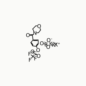 O=C(c1ccc(OS(=O)(=O)C(F)(F)F)cc1)N1CCOCC1.[K+].[K+].[K+].[O-]B([O-])[O-]